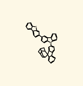 c1ccc2c(c1)-c1ccc(-n3c4ccccc4c4cc(-c5ccc6c(c5)sc5ccccc56)ccc43)cc1C21C2CC3CC(C2)CC1C3